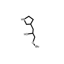 CC(C)(C)OCC(O)CC1CCNC1